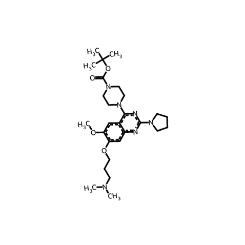 COc1cc2c(N3CCN(C(=O)OC(C)(C)C)CC3)nc(N3CCCC3)nc2cc1OCCCN(C)C